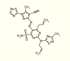 C=CCc1nc(N(CC=C)c2nc(C)ns2)nc(S(N)(=O)=O)c1N=Nc1nn(-c2ncns2)c(C)c1C#N